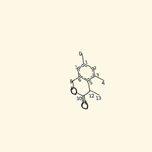 Cc1cc(C)c2c(c1)COC(=O)C2C